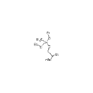 CCCCC(CC)CO[Si](C)(OCC)OCC